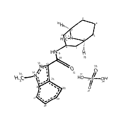 CN1[C@@H]2CCC[C@H]1CC(NC(=O)c1nn(C)c3ccccc13)C2.O=S(=O)(O)O